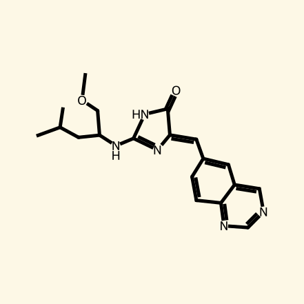 COCC(CC(C)C)NC1=N/C(=C\c2ccc3ncncc3c2)C(=O)N1